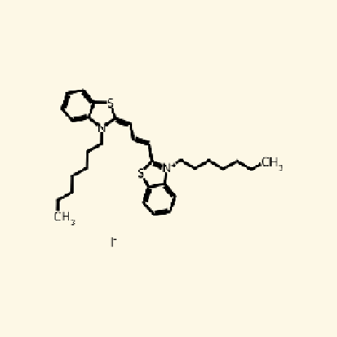 CCCCCCCN1C(=CC=Cc2sc3ccccc3[n+]2CCCCCCC)Sc2ccccc21.[I-]